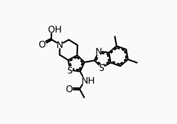 CC(=O)Nc1sc2c(c1-c1nc3c(C)cc(C)cc3s1)CCN(C(=O)O)C2